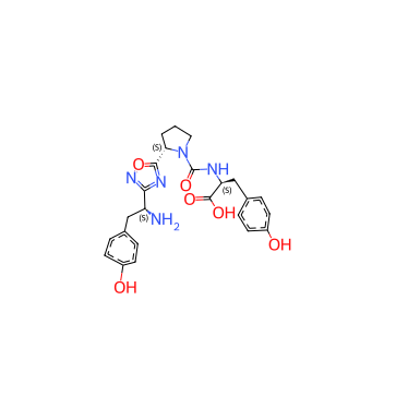 N[C@@H](Cc1ccc(O)cc1)c1noc([C@@H]2CCCN2C(=O)N[C@@H](Cc2ccc(O)cc2)C(=O)O)n1